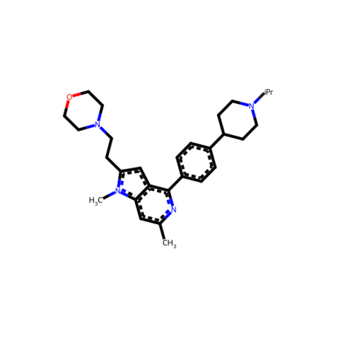 Cc1cc2c(cc(CCN3CCOCC3)n2C)c(-c2ccc(C3CCN(C(C)C)CC3)cc2)n1